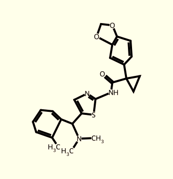 Cc1ccccc1C(c1cnc(NC(=O)C2(c3ccc4c(c3)OCO4)CC2)s1)N(C)C